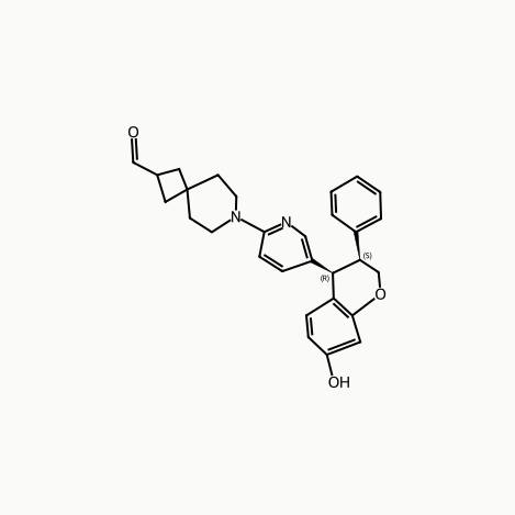 O=CC1CC2(CCN(c3ccc([C@@H]4c5ccc(O)cc5OC[C@@H]4c4ccccc4)cn3)CC2)C1